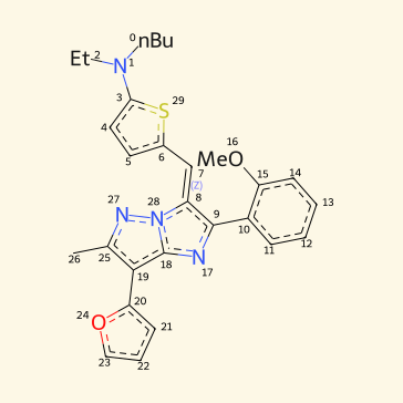 CCCCN(CC)c1ccc(/C=c2/c(-c3ccccc3OC)nc3c(-c4ccco4)c(C)nn23)s1